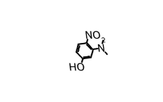 CN(C)c1cc(O)ccc1[N+](=O)[O-]